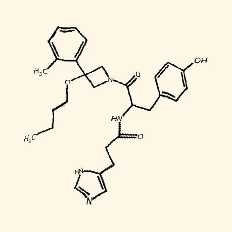 CCCCOC1(c2ccccc2C)CN(C(=O)C(Cc2ccc(O)cc2)NC(=O)CCc2cnc[nH]2)C1